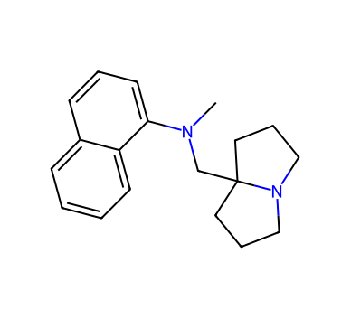 CN(CC12CCCN1CCC2)c1cccc2ccccc12